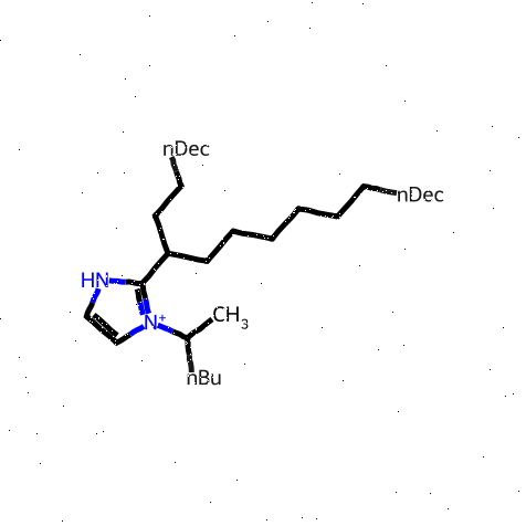 CCCCCCCCCCCCCCCCC(CCCCCCCCCCCC)c1[nH]cc[n+]1C(C)CCCC